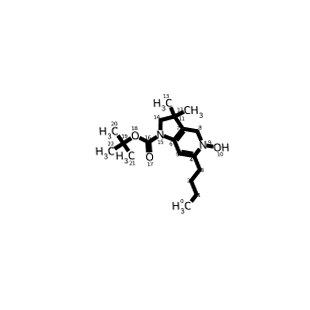 CCCCC1=CC2=C(CN1O)C(C)(C)CN2C(=O)OC(C)(C)C